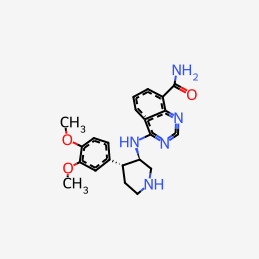 COc1ccc([C@H]2CCNC[C@@H]2Nc2ncnc3c(C(N)=O)cccc23)cc1OC